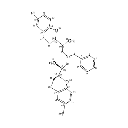 O[C@H](CN(Cc1ccccc1)C[C@H](O)[C@@H]1CCc2cc(F)ccc2O1)[C@@H]1CCc2cc(F)ccc2O1